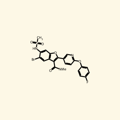 CNC(=O)c1c(-c2ccc(Oc3ccc(F)cc3)nc2)oc2cc(NS(C)(=O)=O)c(Br)cc12